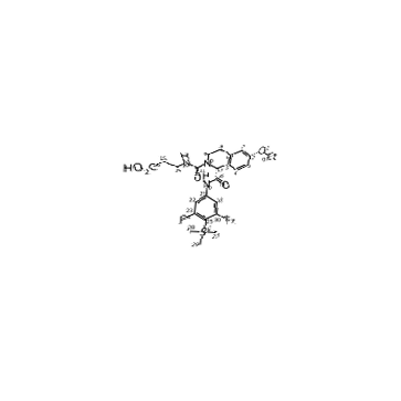 CCOc1ccc2c(c1)CCN(C(=O)NCCC(=O)O)[C@H]2C(=O)Nc1cc(F)c(S(C)(C)C)c(F)c1